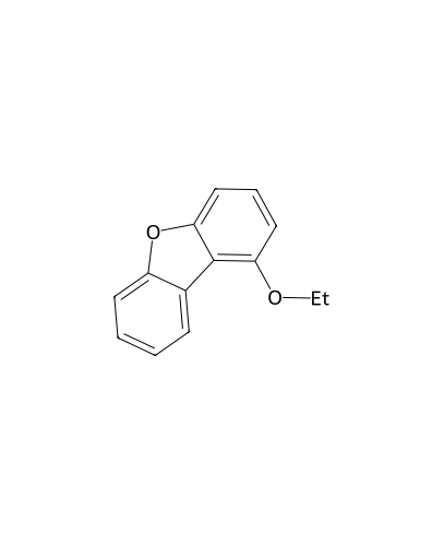 CCOc1cccc2oc3ccccc3c12